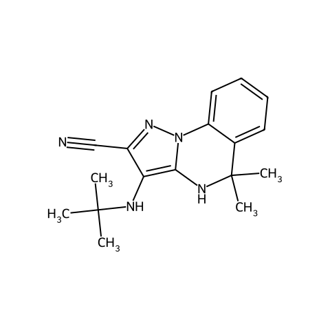 CC(C)(C)Nc1c(C#N)nn2c1NC(C)(C)c1ccccc1-2